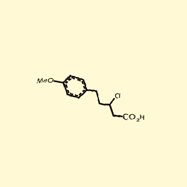 COc1ccc(CCC(Cl)CC(=O)O)cc1